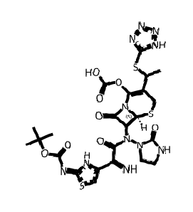 CC(Sc1nnn[nH]1)C1=C(OC(=O)O)N2C(=O)C(N(C(=O)C(=N)c3csc(=NC(=O)OC(C)(C)C)[nH]3)N3CCNC3=O)[C@@H]2SC1